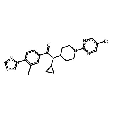 CCc1cnc(N2CCC(N(C(=O)c3ccc(-n4cncn4)c(F)c3)C3CC3)CC2)nc1